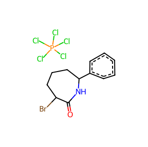 ClP(Cl)(Cl)(Cl)Cl.O=C1NC(c2ccccc2)CCCC1Br